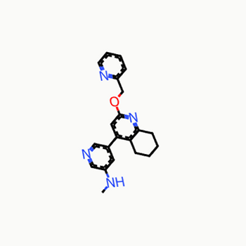 CNc1cncc(-c2cc(OCc3ccccn3)nc3c2CCCC3)c1